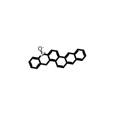 [O-][S+]1c2ccccc2Cc2c1ccc1c2ccc2cc3ccccc3cc21